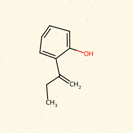 C=C(CC)c1ccccc1O